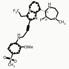 COc1cc(S(C)(=O)=O)ccc1NCC#Cc1nc2c([C@@H]3NCCN(C)C[C@H]3F)cccn2c1CC(F)(F)F